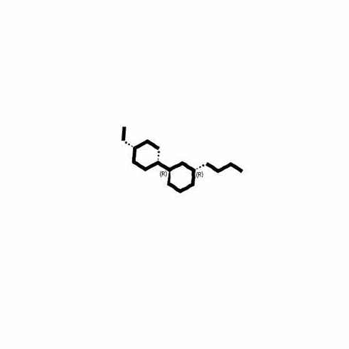 CCCC[C@@H]1CCC[C@@H]([C@H]2CC[C@@H](CC)CC2)C1